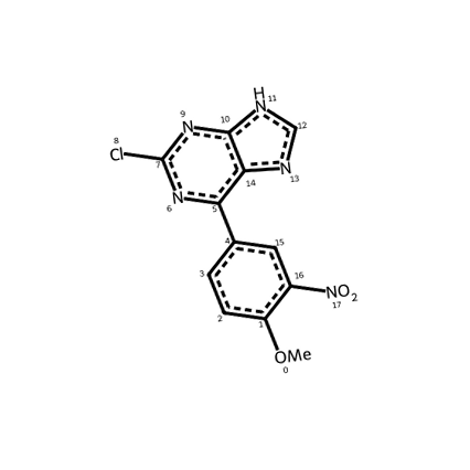 COc1ccc(-c2nc(Cl)nc3[nH]cnc23)cc1[N+](=O)[O-]